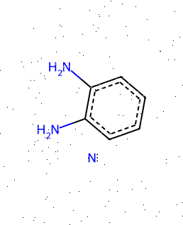 Nc1ccccc1N.[N]